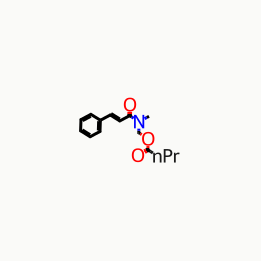 CCCC(=O)OCN(C)C(=O)C=Cc1ccccc1